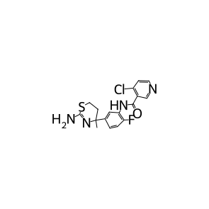 CC1(c2ccc(F)c(NC(=O)c3cnccc3Cl)c2)CCSC(N)=N1